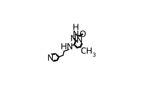 Cc1cc(NCCCc2ccncc2)c2n[nH]c(=O)n2c1